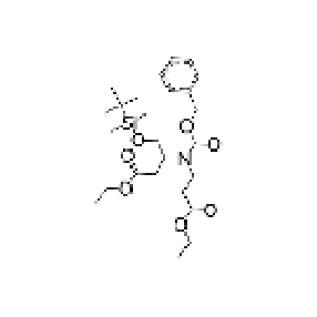 CCOC(=O)CCN(C(=O)OCc1ccccc1)C(CO[Si](C)(C)C(C)(C)C)CC(=O)OCC